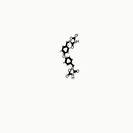 O=c1[nH]c(=O)n(Cc2ccc(Oc3ccc(Cn4oc(=O)[nH]c4=O)cc3)cc2)o1